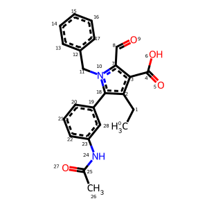 CCc1c(C(=O)O)c(C=O)n(Cc2ccccc2)c1-c1cccc(NC(C)=O)c1